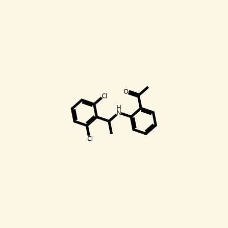 CC(=O)c1ccccc1NC(C)c1c(Cl)cccc1Cl